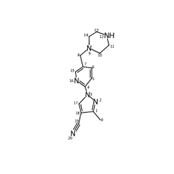 Cc1nn(-c2ccc(CN3CCNCC3)cn2)cc1C#N